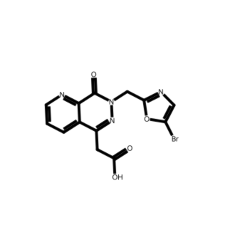 O=C(O)Cc1nn(Cc2ncc(Br)o2)c(=O)c2ncccc12